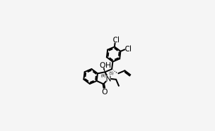 C=CC[C@@H](c1ccc(Cl)c(Cl)c1)[C@@]1(O)c2ccccc2C(=O)N1CC